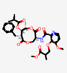 COC(=O)C(C)COc1c(OC)ccnc1C(=O)N[C@H]1COC(=O)[C@H](Cc2ccccc2)[C@@H](OC(=O)C(C)C)[C@H](C)OC1=O